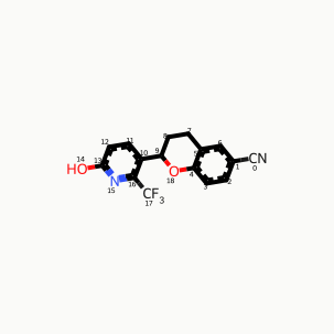 N#Cc1ccc2c(c1)CCC(c1ccc(O)nc1C(F)(F)F)O2